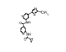 Cc1ncc(-c2cncc(NC(=O)c3ccnc(NC(=O)C4CC4)c3)c2)s1